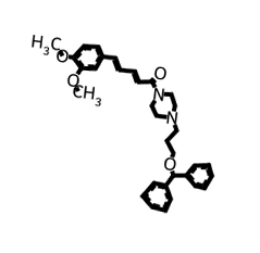 COc1ccc(C=CC=CC(=O)N2CCN(CCCOC(c3ccccc3)c3ccccc3)CC2)cc1OC